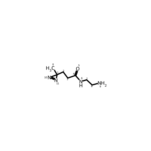 CC1(CCC(=O)NCCN)N=N1